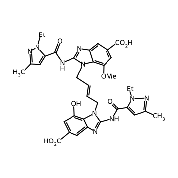 CCn1nc(C)cc1C(=O)Nc1nc2cc(C(=O)O)cc(O)c2n1C/C=C/Cn1c(NC(=O)c2cc(C)nn2CC)nc2cc(C(=O)O)cc(OC)c21